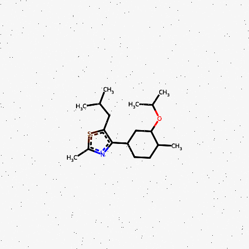 Cc1nc(C2CCC(C)C(OC(C)C)C2)c(CC(C)C)s1